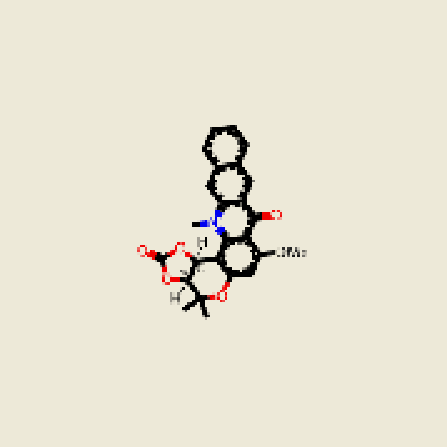 COc1cc2c(c3c1c(=O)c1cc4ccccc4cc1n3C)[C@@H]1OC(=O)O[C@@H]1C(C)(C)O2